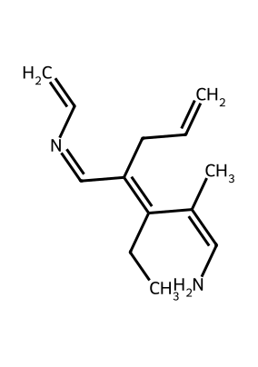 C=CCC(/C=N\C=C)=C(CC)\C(C)=C/N